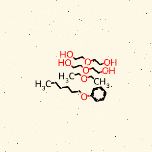 CCCCCCOc1ccccc1.CCOCC.OCCOCCO.OCCOCCO